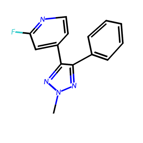 Cn1nc(-c2ccccc2)c(-c2ccnc(F)c2)n1